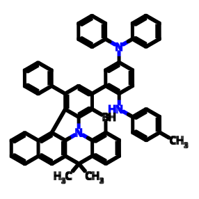 Cc1ccc(Nc2ccc(N(c3ccccc3)c3ccccc3)cc2-c2cc(-c3ccccc3)c3c4c5ccccc5cc5c4n4c3c2Bc2cccc(c2-4)C5(C)C)cc1